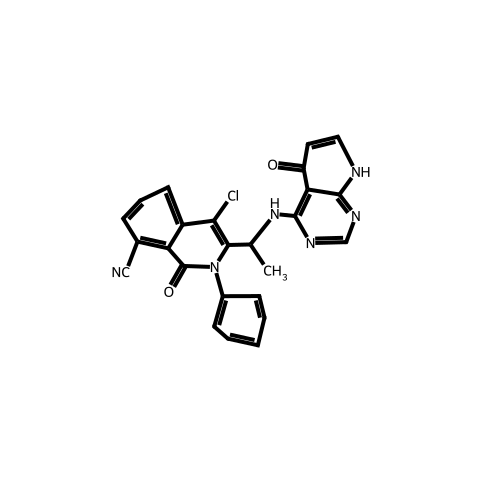 CC(Nc1ncnc2[nH]ccc(=O)c12)c1c(Cl)c2cccc(C#N)c2c(=O)n1-c1ccccc1